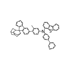 Cc1cc(N(c2ccc(-c3ccccc3)cc2)c2cccc3c2sc2ccccc23)ccc1-c1ccc2c(c1)-c1ccccc1C21C2CC3CC(C2)CC1C3